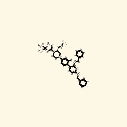 COC[C@H]1CN(c2ccc(-c3ccc(OCc4ccccc4)nc3OCc3ccccc3)c(F)c2)CCN1C(=O)OC(C)(C)C